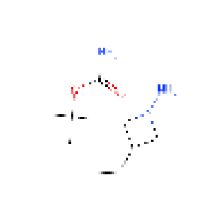 CC(C)(C)OC(N)=O.CCC1CN(N)C1